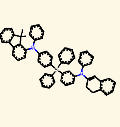 CC1(C)c2ccccc2-c2cccc(N(c3ccccc3)c3ccc([Si](c4ccccc4)(c4ccccc4)c4cccc(N(C5=Cc6ccccc6CC5)c5ccccc5)c4)cc3)c21